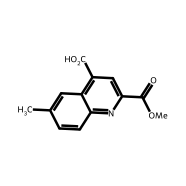 COC(=O)c1cc(C(=O)O)c2cc(C)ccc2n1